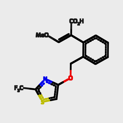 COC=C(C(=O)O)c1ccccc1COc1csc(C(F)(F)F)n1